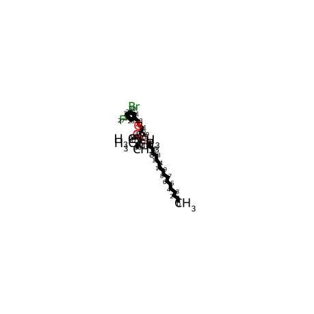 CCCCCCCCCCCCCCCCCCOC[C@H](COCc1cc(F)cc(Br)c1)O[Si](C)(C)C(C)(C)C